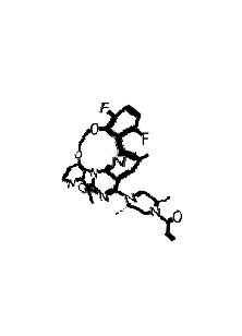 C=CC(=O)N1C[C@H](C)N(c2nc(=O)n3c4nc(c(C)cc24)-c2c(F)ccc(F)c2OCCOc2ccnc(C(C)C)c2-3)C[C@H]1C